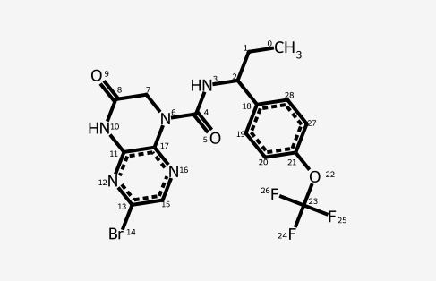 CCC(NC(=O)N1CC(=O)Nc2nc(Br)cnc21)c1ccc(OC(F)(F)F)cc1